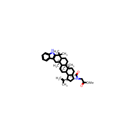 C=C(C)[C@@H]1CC[C@]2(C(=O)NCC(=O)OC)CC[C@]3(C)C(CCC4[C@@]5(C)Cc6c([nH]c7ccccc67)C(C)(C)C5CC[C@]43C)C12